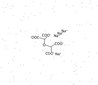 O=C([O-])C(OC(C(=O)[O-])C(=O)[O-])C(=O)[O-].[Na+].[Na+].[Na+].[Na+]